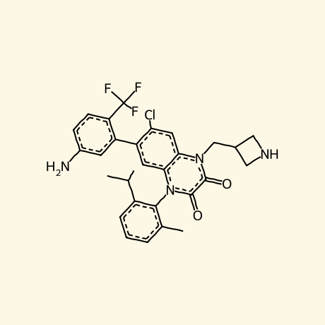 Cc1cccc(C(C)C)c1-n1c(=O)c(=O)n(CC2CNC2)c2cc(Cl)c(-c3cc(N)ccc3C(F)(F)F)cc21